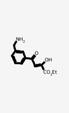 CCOC(=O)C(O)=CC(=O)c1cccc(CN)c1